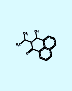 CC(C)N1C(=O)c2cccc3cccc(c23)C1O